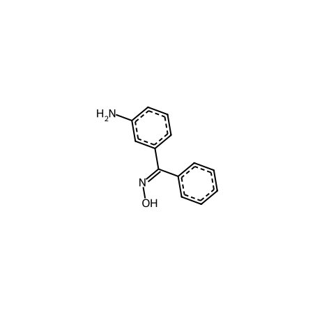 Nc1cccc(/C(=N/O)c2ccccc2)c1